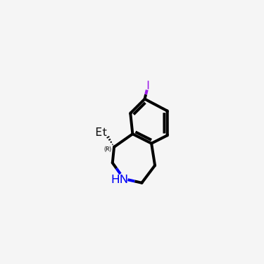 CC[C@H]1CNCCc2ccc(I)cc21